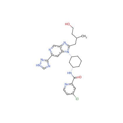 CC(CCO)Cc1nc2cnc(-c3nc[nH]n3)cc2n1[C@@H]1CCC[C@H](NC(=O)c2cc(Cl)ccn2)C1